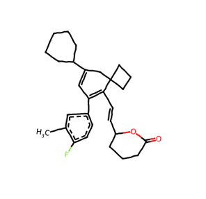 Cc1cc(C2=C(/C=C/C3CCCC(=O)O3)C3(CCC3)CC(C3CCCCC3)=C2)ccc1F